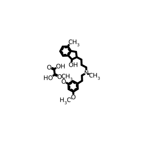 COc1cc(CCN(C)CCCC2Cc3c(C)cccc3C2O)cc(OC)c1.O=C(O)C(=O)O